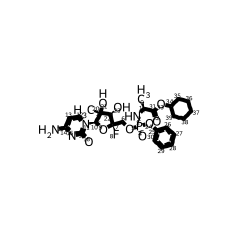 C[C@H](N[P@](=O)(OC[C@@]1(F)O[C@@H](n2ccc(N)nc2=O)[C@](C)(O)[C@@H]1O)Oc1ccccc1)C(=O)OC1CCCCC1